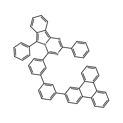 c1ccc(-c2nc(-c3cccc(-c4cccc(-c5ccc6c7ccccc7c7ccccc7c6c5)c4)c3)n3c(-c4ccccc4)c4ccccc4c3n2)cc1